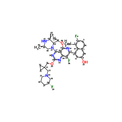 C#Cc1c(F)ccc2cc(O)cc(-c3nc4c5c(nc(OCC6(CN7CCC[C@@H](F)C7)CC6)nc5c3F)N3C[C@@H](C)N[C@@H](CC)[C@H]3CO4)c12